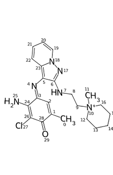 CC1=CC(=Nc2c(NCC[N+]3(C)CCCCC3)nn3ccccc23)C(N)=C(Cl)C1=O